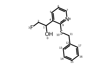 OC(CF)c1cccnc1SCc1ccccc1